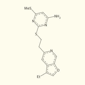 CCc1coc2cnc(CCSc3nc(N)cc(SC)n3)cc12